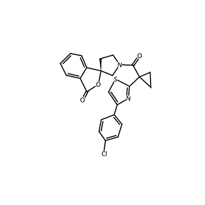 O=C1O[C@]2(CCN(C(=O)C3(c4nc(-c5ccc(Cl)cc5)cs4)CC3)C2)c2ccccc21